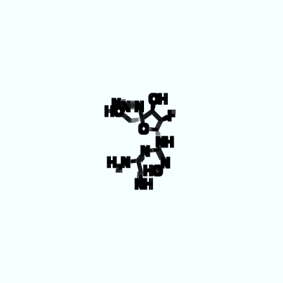 [N-]=[N+]=N[C@]1(CO)O[C@@H](NC(=N/O)/N=C(/N)C=N)[C@H](F)[C@@H]1O